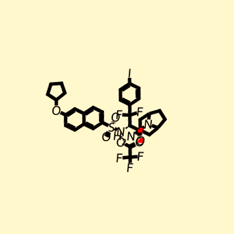 NC1CC2CCC(C1)N2C(=O)[C@H](N(OC(=O)C(F)(F)F)S(=O)(=O)c1ccc2cc(OC3CCCC3)ccc2c1)C(F)(F)c1ccc(I)cc1